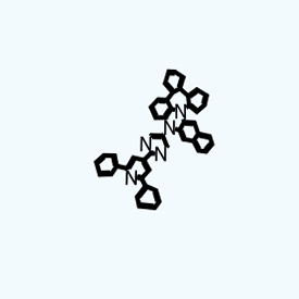 c1ccc(-c2cc(-c3ncc(N4c5cc6ccccc6cc5N5c6ccccc6-c6ccccc6-c6cccc4c65)cn3)cc(-c3ccccc3)n2)cc1